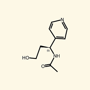 CC(=O)N[C@@H](CCO)c1ccncc1